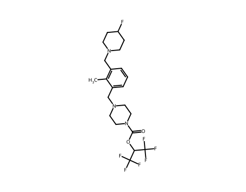 Cc1c(CN2CCC(F)CC2)cccc1CN1CCN(C(=O)OC(C(F)(F)F)C(F)(F)F)CC1